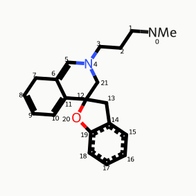 CNCCCN1C=C2CC=CC=C2C2(Cc3ccccc3O2)C1